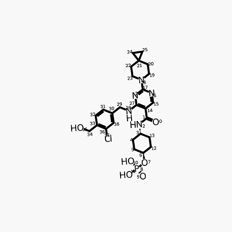 O=C(N[C@H]1CC[C@H](OP(=O)(O)O)CC1)c1cnc(N2CCC3(CC2)CC3)nc1NCc1ccc(CO)c(Cl)c1